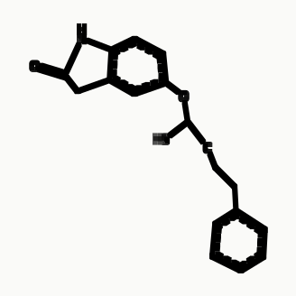 O=C1Cc2cc(OC(S)CCCc3ccccc3)ccc2N1